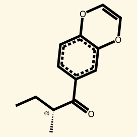 CC[C@@H](C)C(=O)c1ccc2c(c1)OC=CO2